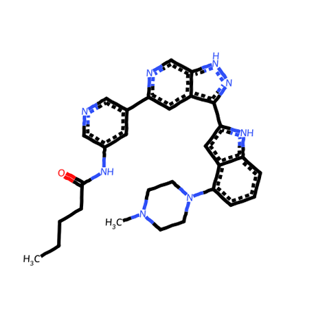 CCCCC(=O)Nc1cncc(-c2cc3c(-c4cc5c(N6CCN(C)CC6)cccc5[nH]4)n[nH]c3cn2)c1